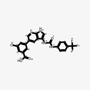 O=C(Nc1ccc(C(F)(F)F)cc1)Nc1c[nH]c2ncc(-c3cc(Cl)cc(C(=O)O)c3)cc12